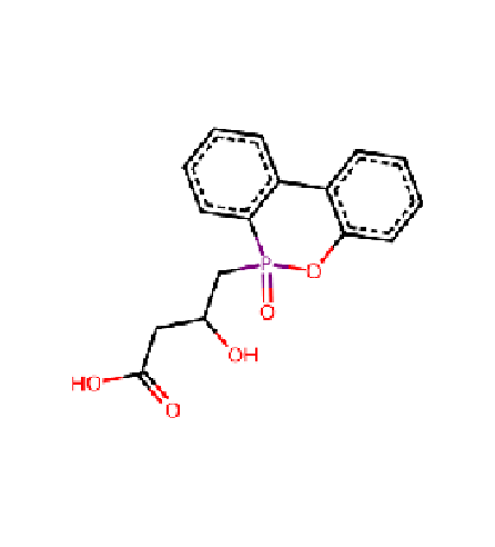 O=C(O)CC(O)CP1(=O)Oc2ccccc2-c2ccccc21